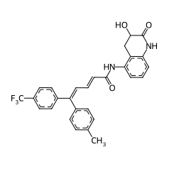 Cc1ccc(/C(=C\C=C\C(=O)Nc2cccc3c2CC(O)C(=O)N3)c2ccc(C(F)(F)F)cc2)cc1